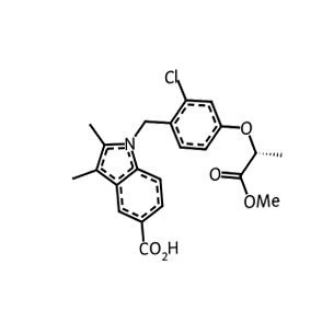 COC(=O)[C@@H](C)Oc1ccc(Cn2c(C)c(C)c3cc(C(=O)O)ccc32)c(Cl)c1